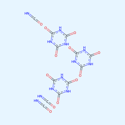 N=C=O.N=C=O.N=C=O.O=c1[nH]c(=O)[nH]c(=O)[nH]1.O=c1[nH]c(=O)[nH]c(=O)[nH]1.O=c1[nH]c(=O)[nH]c(=O)[nH]1